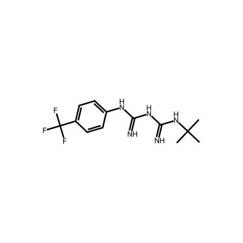 CC(C)(C)NC(=N)NC(=N)Nc1ccc(C(F)(F)F)cc1